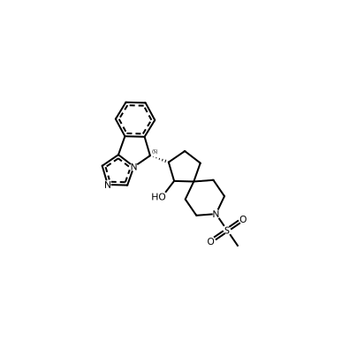 CS(=O)(=O)N1CCC2(CCC([C@H]3c4ccccc4-c4cncn43)C2O)CC1